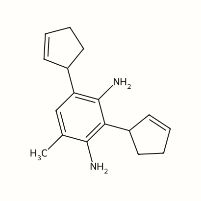 Cc1cc(C2C=CCC2)c(N)c(C2C=CCC2)c1N